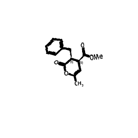 COC(=O)[C@H]1C=C(C)OC(=O)[C@H]1Cc1ccccc1